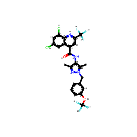 Cc1nn(Cc2cccc(OC(F)(F)F)c2)c(C)c1NC(=O)c1cc(C(F)(F)F)nc2c(Cl)cc(Cl)cc12